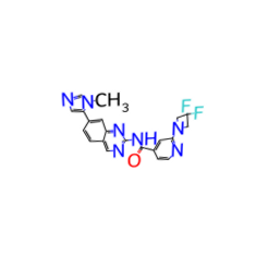 Cn1cncc1-c1ccc2cnc(NC(=O)c3ccnc(N4CC(F)(F)C4)c3)nc2c1